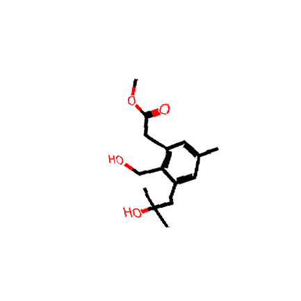 COC(=O)Cc1cc(C)cc(CC(C)(C)O)c1CO